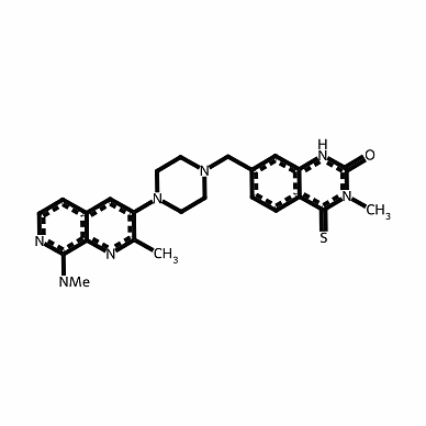 CNc1nccc2cc(N3CCN(Cc4ccc5c(=S)n(C)c(=O)[nH]c5c4)CC3)c(C)nc12